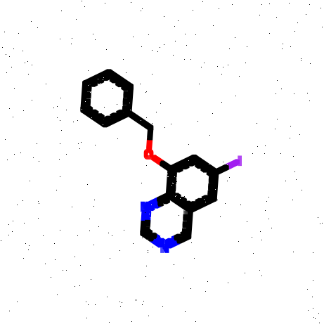 Ic1cc(OCc2ccccc2)c2ncncc2c1